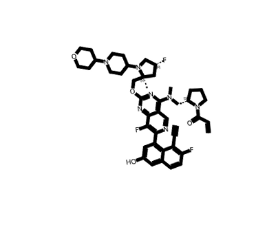 C#Cc1c(F)ccc2cc(O)cc(-c3ncc4c(N(C)C[C@@H]5CCCN5C(=O)C=C)nc(OC[C@]5(C)C[C@@H](F)CN5C5CCN(C6CCOCC6)CC5)nc4c3F)c12